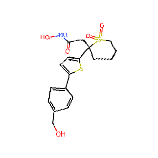 O=C(C[C@]1(c2ccc(-c3ccc(CO)cc3)s2)CCCCS1(=O)=O)NO